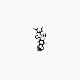 CCCC(CC)NC(=O)c1ccc2c(c1)OC(F)(F)O2